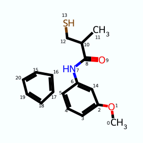 COc1cccc(NC(=O)C(C)CS)c1.c1ccccc1